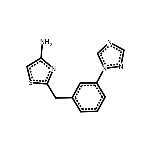 Nc1csc(Cc2cccc(-n3cncn3)c2)n1